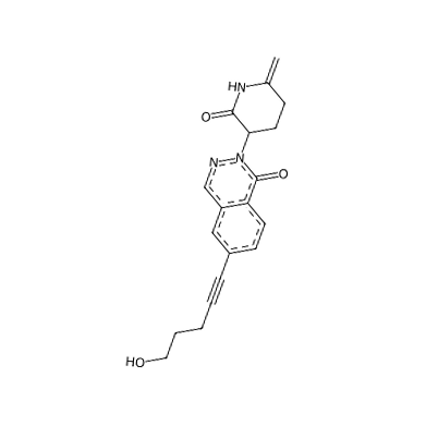 C=C1CCC(n2ncc3cc(C#CCCCO)ccc3c2=O)C(=O)N1